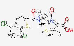 CCC(Sc1cc(Cl)ccc1Cl)C(=O)N[C@@]1(C)C(=O)N2[C@@H](C(=O)O)C(C)(C)S[C@@H]21